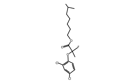 CC(C)CCCCCOC(=O)C(C)(F)Oc1ccc(Cl)cc1Cl